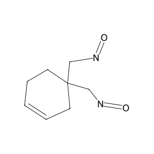 O=NCC1(CN=O)CC=CCC1